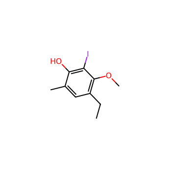 CCc1cc(C)c(O)c(I)c1OC